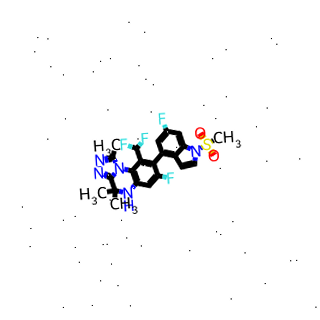 Cc1nnc2n1-c1c(cc(F)c(-c3cc(F)cc4c3ccn4S(C)(=O)=O)c1C(F)F)NC2(C)C